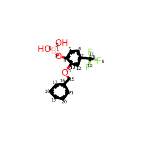 OB(O)Oc1ccc(C(F)(F)F)cc1OCc1ccccc1